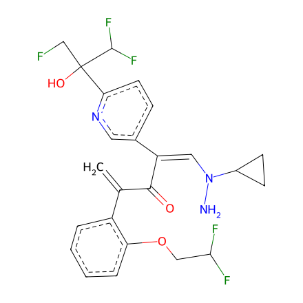 C=C(C(=O)/C(=C\N(N)C1CC1)c1ccc(C(O)(CF)C(F)F)nc1)c1ccccc1OCC(F)F